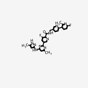 Cc1cc(Nc2cc(C)[nH]n2)nc(-c2cnc(C(=O)NCc3ccc(-c4ccc(F)nc4C)nc3)c(F)c2)n1